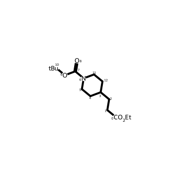 CCOC(=O)CCC1CCN(C(=O)OC(C)(C)C)CC1